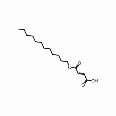 CCCCCCCCCCCCOC(=O)C=CC(=O)O